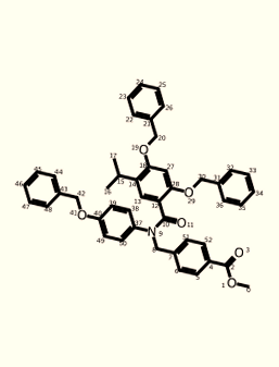 COC(=O)c1ccc(CN(C(=O)c2cc(C(C)C)c(OCc3ccccc3)cc2OCc2ccccc2)c2ccc(OCc3ccccc3)cc2)cc1